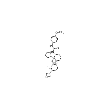 C[C@H]1C(C2COC2)CCC[C@H]1OC1(C2CCCC2)NCCCC1NC(=O)Nc1ccc(OC(F)(F)F)cc1